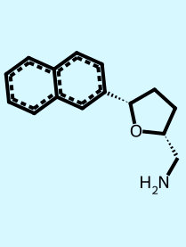 NC[C@H]1CC[C@@H](c2ccc3ccccc3c2)O1